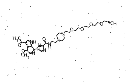 C#CCOCCOCCOCCOCCN1CCN(CCNC(=O)c2ncn(-c3ncc(OC)c4c(C(C)=O)c[nH]c34)n2)CC1